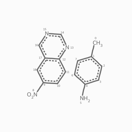 Cc1ccc(N)cc1.O=[N+]([O-])c1ccc2ncncc2c1